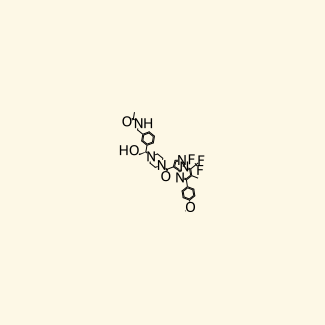 COc1ccc(-c2nc3c(C(=O)N4CCN([C@@H](CO)c5cccc(CNC(C)=O)c5)CC4)cnn3c(C(F)(F)F)c2C)cc1